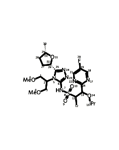 COCC(COC)n1c(NS(=O)(=O)C(C)C(OC(C)C)c2ncc(F)cn2)nnc1[C@@H]1CC[C@H](C)O1